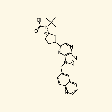 CC(C)(C)N(C(=O)O)[C@@H]1CCC(c2cnc3nnn(Cc4ccc5ncccc5c4)c3n2)C1